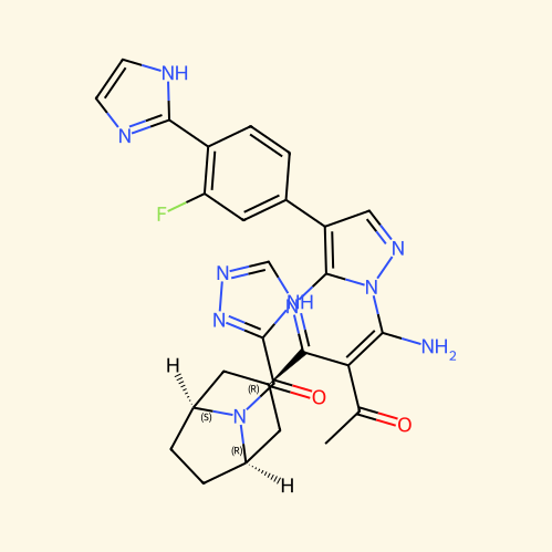 CC(=O)c1c([C@H]2C[C@H]3CC[C@@H](C2)N3C(=O)c2nnc[nH]2)nc2c(-c3ccc(-c4ncc[nH]4)c(F)c3)cnn2c1N